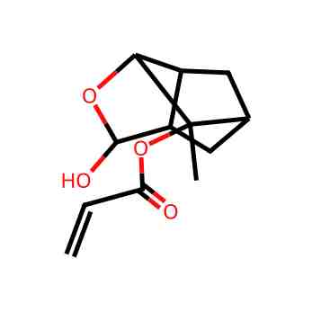 C=CC(=O)OC1(C)C2CC3C(O)OC1C3C2